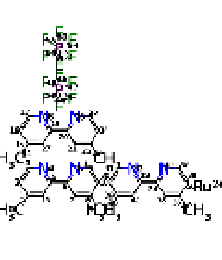 Cc1ccnc(-c2cc(C)ccn2)c1.Cc1ccnc(-c2cc(C)ccn2)c1.Cc1ccnc(-c2cc(C)ccn2)c1.F[P-](F)(F)(F)(F)F.F[P-](F)(F)(F)(F)F.[Ru+2]